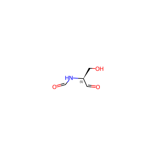 O=CN[C@H](C=O)CO